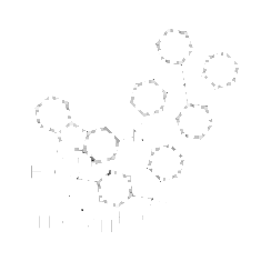 CC1(C)CC(C)(C)c2cc3c(cc21)-c1c(N(c2ccc4c(c2)C2(c5ccccc5-c5ccccc52)c2ccccc2-4)c2ccc4oc5ccccc5c4c2)cccc1C3(C)C